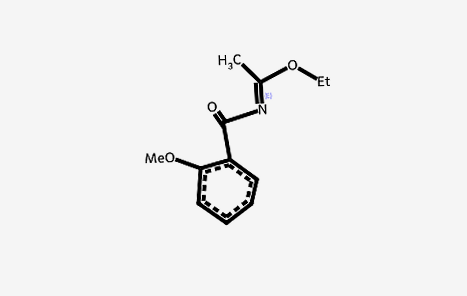 CCO/C(C)=N/C(=O)c1ccccc1OC